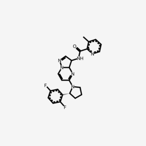 Cc1cccnc1C(=O)NC1C=NN2C=CC(N3CCC[C@@H]3c3cc(F)ccc3F)=NC12